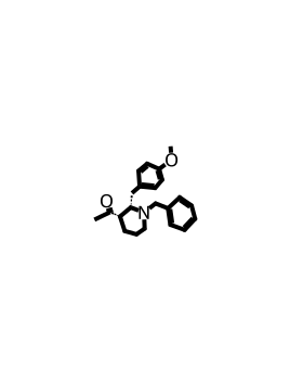 COc1ccc(C[C@H]2[C@@H](C(C)=O)CCCN2Cc2ccccc2)cc1